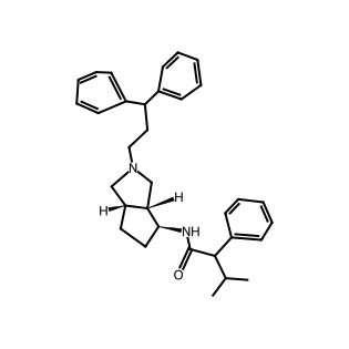 CC(C)C(C(=O)N[C@H]1CC[C@@H]2CN(CCC(c3ccccc3)c3ccccc3)C[C@@H]21)c1ccccc1